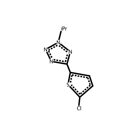 CC(C)n1nnc(-c2ccc(Cl)s2)n1